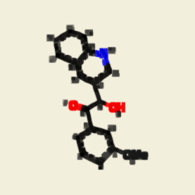 COc1cccc(C(=O)C(O)c2cnc3ccccc3c2)c1